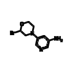 Nc1cncc(N2CCOC(Br)C2)c1